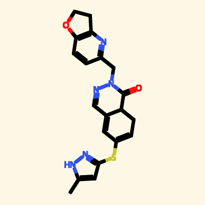 Cc1cc(SC2=CCC3C(=O)N(Cc4ccc5c(n4)CCO5)N=CC3=C2)n[nH]1